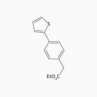 CCOC(=O)Cc1ccc(-c2cccs2)cc1